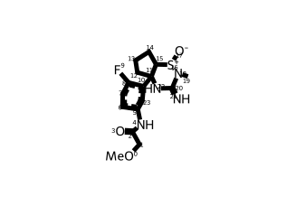 COCC(=O)Nc1ccc(F)c(C23CCCC2[S+]([O-])N(C)C(=N)N3)c1